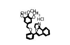 COc1cc(COc2ccccc2C2=Cc3ccccc3C3=NCCN23)cc(OC)c1OC.Cl